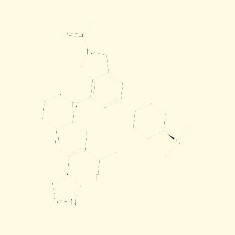 CC(=O)N1Cc2cc([C@H]3CC[C@H](S(C)(=O)=O)CC3)cc(N3CCCc4cc(-c5cnn(C)c5)c(C(F)F)cc43)c2C1